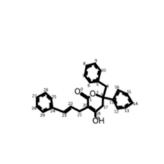 O=C1OC(Cc2ccccc2)(c2ccccc2)CC(O)=C1CC=Cc1ccccc1